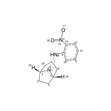 CN1[C@@H]2CC[C@H]1C[C@@H](Nc1ccccc1[N+](=O)[O-])C2